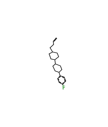 C=CCCC1CCC(C2CCC(c3ccc(F)cc3)CC2)CC1